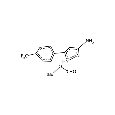 CC(C)(C)OC=O.Nc1cc(-c2ccc(C(F)(F)F)cc2)[nH]n1